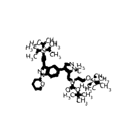 CC(C)[Si](C#Cc1nn(C2CCCCO2)c2ccc(-c3cnn(C)c3CN(CCO[Si](C)(C)C(C)(C)C)C(=O)OC(C)(C)C)cc12)(C(C)C)C(C)C